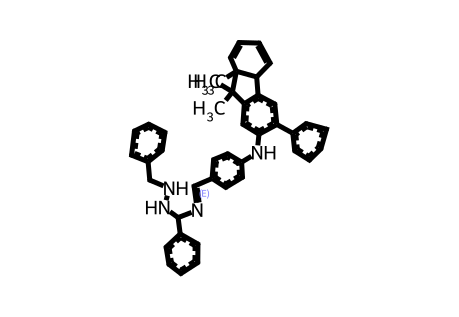 CC1(C)c2cc(Nc3ccc(/C=N/C(NNCc4ccccc4)c4ccccc4)cc3)c(-c3ccccc3)cc2C2C=CC=CC21C